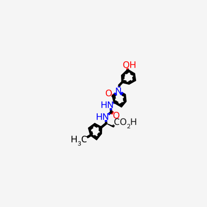 Cc1ccc([C@H](CC(=O)O)NC(=O)Nc2cccn(Cc3cccc(O)c3)c2=O)cc1